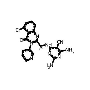 C[C@@H](Nc1nc(N)nc(N)c1C#N)c1nc2cccc(Cl)c2c(=O)n1-c1cccnc1